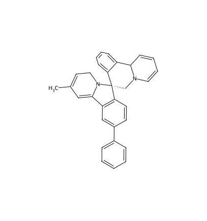 CC1=CCN2C(=C1)c1cc(-c3ccccc3)ccc1[C@@]21CN2C=CC=CC2c2ccccc21